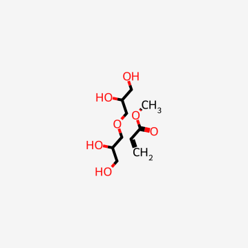 C=CC(=O)OC.OCC(O)COCC(O)CO